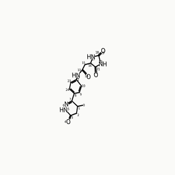 CC1CC(=O)NN=C1c1ccc(NC(=O)CC2NC(=O)NC2=O)cc1